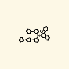 c1ccc(-c2ccc(-c3cccc(N(c4cccc(-c5ccccc5)c4)c4cc5ccccc5c5c4oc4ccccc45)c3)cc2)cc1